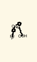 CN(Cc1ccccc1OCCCCCC(=O)O)C(=O)c1ccc(C#CC(F)(F)F)cc1